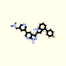 CN(C)Cc1cncc(-c2cnc3[nH]nc(-c4cc5c(-c6ccc(F)cc6)cccc5[nH]4)c3c2)c1